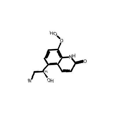 O=c1ccc2c([C@@H](O)CBr)ccc(OO)c2[nH]1